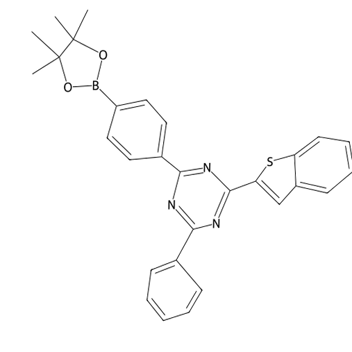 CC1(C)OB(c2ccc(-c3nc(-c4ccccc4)nc(-c4cc5ccccc5s4)n3)cc2)OC1(C)C